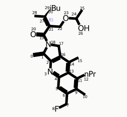 C=C1c2nc3cc(CF)c(C)c(CCC)c3c(C)c2CN1C(=O)/C(COC(C)O)=C(\C)[C@H](C)CC